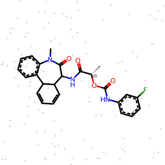 C[C@H](OC(=O)Nc1cccc(F)c1)C(=O)NC1C(=O)N(C)c2ccccc2C2C=CC=CC12